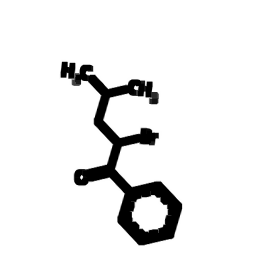 CC(C)CC(Br)C(=O)c1ccccc1